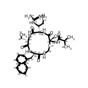 CCC(NC(=N)N)[C@@H]1NC(=O)[C@](C)(NC(=O)C(C)C)CCNC(=O)[C@@H](Cc2cccc3ccccc23)NC(=O)[C@H](CC)NC1=O